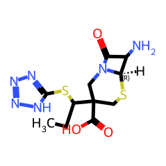 CCC(Sc1nnn[nH]1)C1(C(=O)O)CS[C@@H]2C(N)C(=O)N2C1